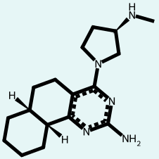 CN[C@@H]1CCN(c2nc(N)nc3c2CC[C@H]2CCCC[C@@H]32)C1